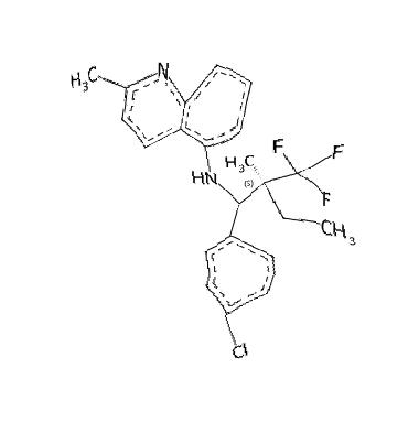 CC[C@@](C)(C(Nc1cccc2nc(C)ccc12)c1ccc(Cl)cc1)C(F)(F)F